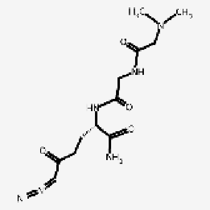 CN(C)CC(=O)NCC(=O)N[C@@H](CCC(=O)C=[N+]=[N-])C(N)=O